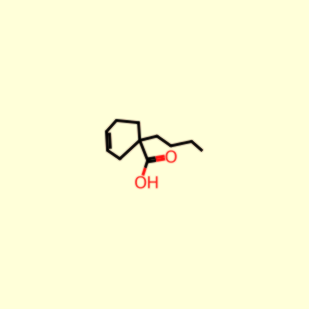 CCCCC1(C(=O)O)CC=CCC1